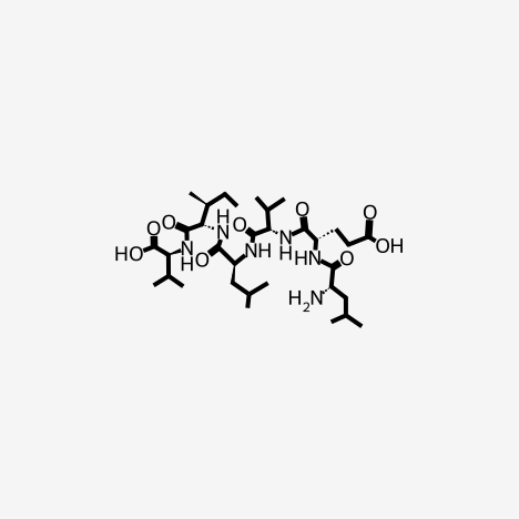 CC[C@H](C)[C@H](NC(=O)[C@H](CC(C)C)NC(=O)[C@@H](NC(=O)[C@H](CCC(=O)O)NC(=O)[C@@H](N)CC(C)C)C(C)C)C(=O)N[C@H](C(=O)O)C(C)C